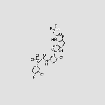 O=C(CC(F)(F)F)Nc1c(F)ccc(NC(=O)c2cc(NC(=O)C3[C@H](c4ccc(F)c(Cl)c4)C3(Cl)Cl)ccc2Cl)c1F